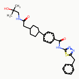 CC(C)(O)CNC(=O)CC1CCC(c2ccc(C(=O)Nc3nnc(Cc4ccccc4)s3)cc2)CC1